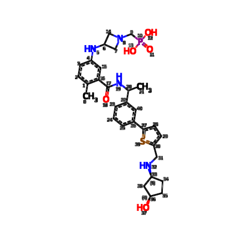 Cc1ccc(NC2CN(CP(=O)(O)O)C2)cc1C(=O)NC(C)c1cccc(-c2ccc(CN[C@H]3CC[C@@H](O)C3)s2)c1